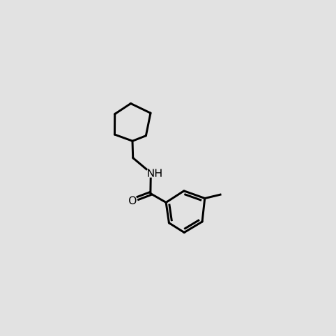 Cc1cccc(C(=O)NCC2CCCCC2)c1